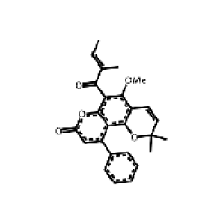 C/C=C(\C)C(=O)c1c(OC)c2c(c3c(-c4ccccc4)cc(=O)oc13)OC(C)(C)C=C2